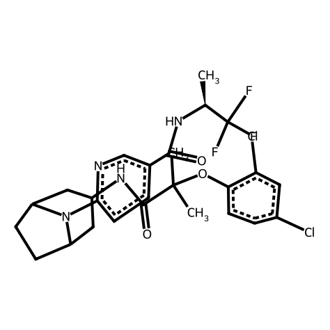 C[C@H](NC(=O)c1ccc(N2C3CCC2CC(NC(=O)C(C)(C)Oc2ccc(Cl)cc2Cl)C3)nc1)C(F)(F)F